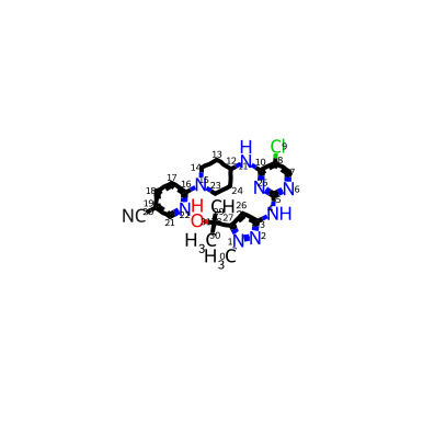 Cn1nc(Nc2ncc(Cl)c(NC3CCN(c4ccc(C#N)cn4)CC3)n2)cc1C(C)(C)O